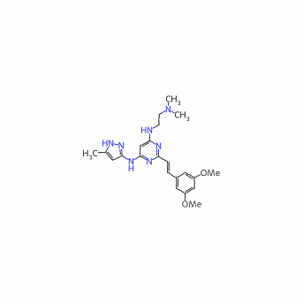 COc1cc(/C=C/c2nc(NCCN(C)C)cc(Nc3cc(C)[nH]n3)n2)cc(OC)c1